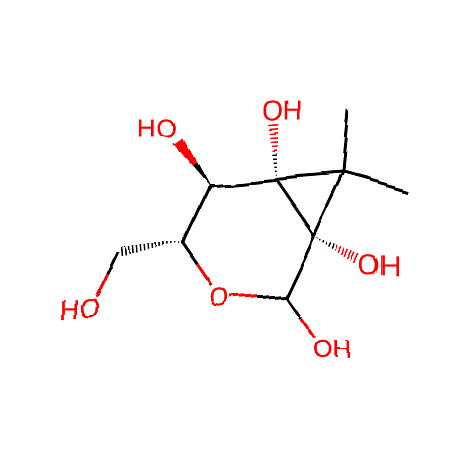 CC1(C)[C@]2(O)[C@H](O)[C@@H](CO)OC(O)[C@]12O